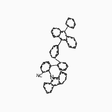 N#Cc1cccc(-c2ccccc2-c2cccc(-c3c4ccccc4c(-c4ccccc4)c4ccccc34)c2)c1-n1c2ccccc2c2ccccc21